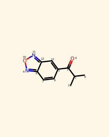 CC(C)C(=O)c1ccc2nonc2c1